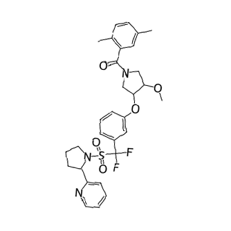 COC1CN(C(=O)c2cc(C)ccc2C)CC1Oc1cccc(C(F)(F)S(=O)(=O)N2CCCC2c2ccccn2)c1